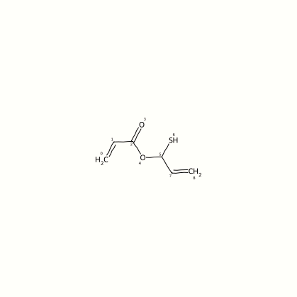 C=CC(=O)OC(S)C=C